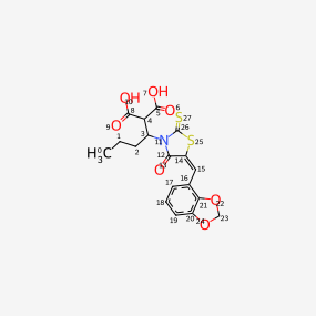 CCCC(C(C(=O)O)C(=O)O)N1C(=O)C(=Cc2cccc3c2OCO3)SC1=S